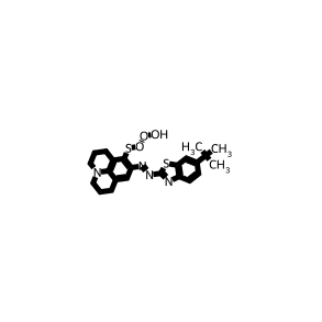 CC(C)(C)c1ccc2nc(N=Nc3cc4c5c(c3SOOO)CCCN5CCC4)sc2c1